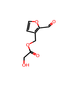 O=Cc1occc1COC(=O)CO